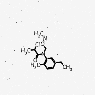 C=NOCN(C(=O)C(C)Cl)c1cc(CC)ccc1C